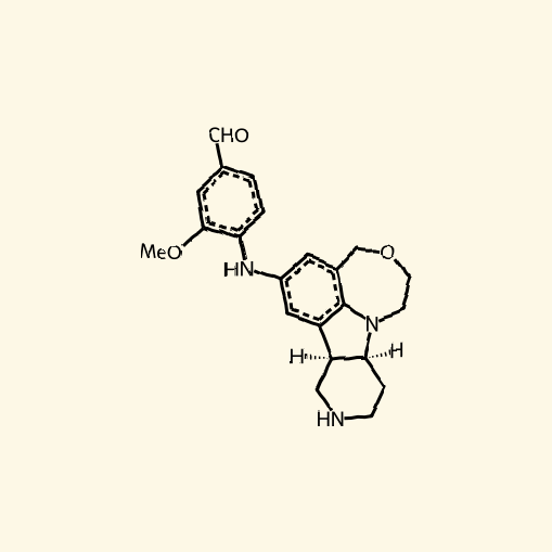 COc1cc(C=O)ccc1Nc1cc2c3c(c1)[C@@H]1CNCC[C@@H]1N3CCOC2